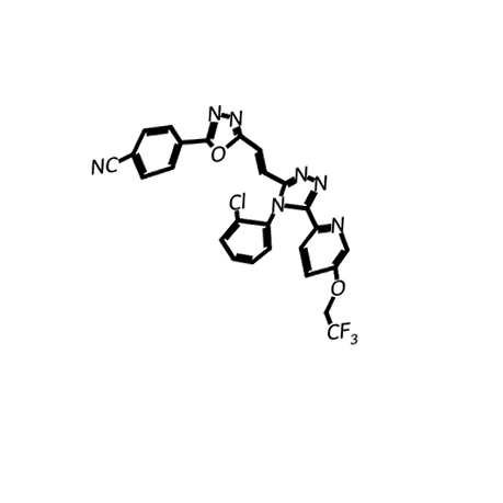 N#Cc1ccc(-c2nnc(C=Cc3nnc(-c4ccc(OCC(F)(F)F)cn4)n3-c3ccccc3Cl)o2)cc1